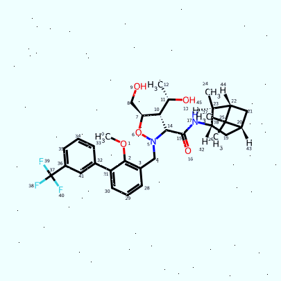 COc1c(CN2O[C@@H](CO)[C@H]([C@H](C)O)C2C(=O)N[C@H]2C[C@H]3C[C@@H]([C@@H]2C)C3(C)C)cccc1-c1cccc(C(F)(F)F)c1